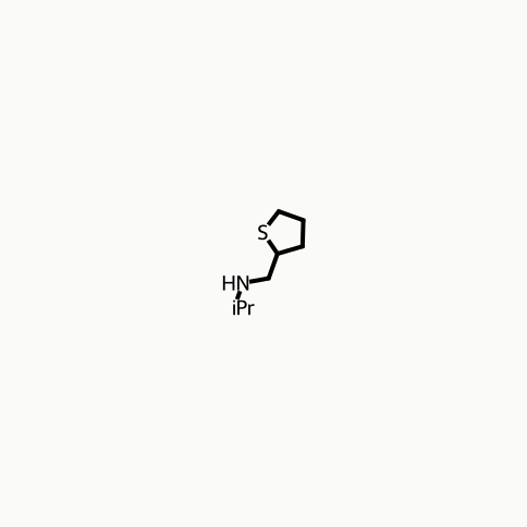 CC(C)NCC1CCCS1